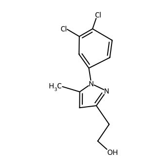 Cc1cc(CCO)nn1-c1ccc(Cl)c(Cl)c1